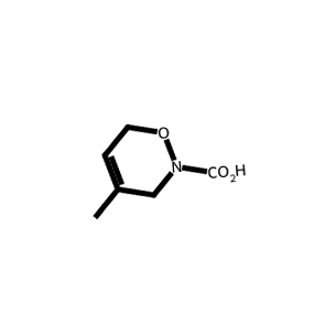 CC1=CCON(C(=O)O)C1